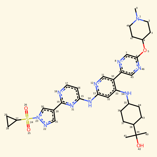 CN1CCC(Oc2cnc(-c3cnc(Nc4ccnc(-c5cnn(S(=O)(=O)C6CC6)c5)n4)cc3NC3CCC(C(C)(C)O)CC3)cn2)CC1